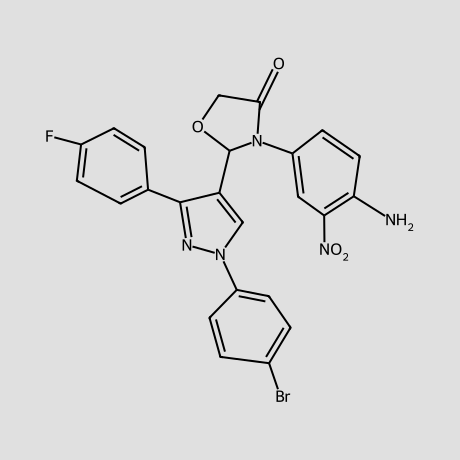 Nc1ccc(N2C(=O)COC2c2cn(-c3ccc(Br)cc3)nc2-c2ccc(F)cc2)cc1[N+](=O)[O-]